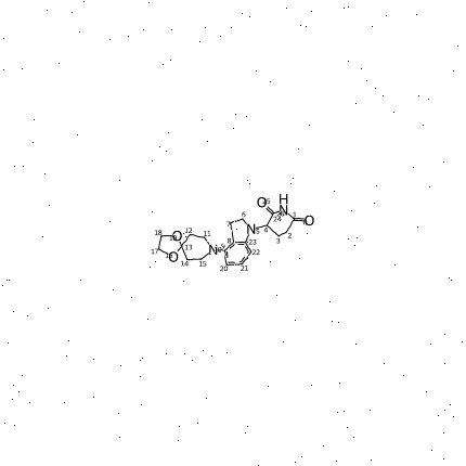 O=C1CCC(N2CCc3c(N4CCC5(CC4)OCCO5)cccc32)C(=O)N1